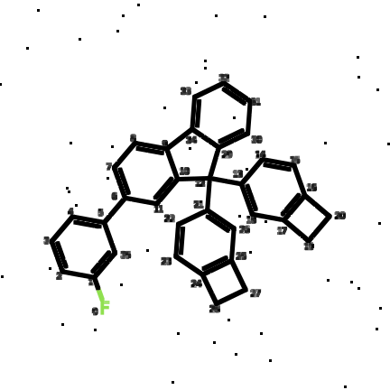 Fc1cccc(-c2ccc3c(c2)C(c2ccc4c(c2)CC4)(c2ccc4c(c2)CC4)c2ccccc2-3)c1